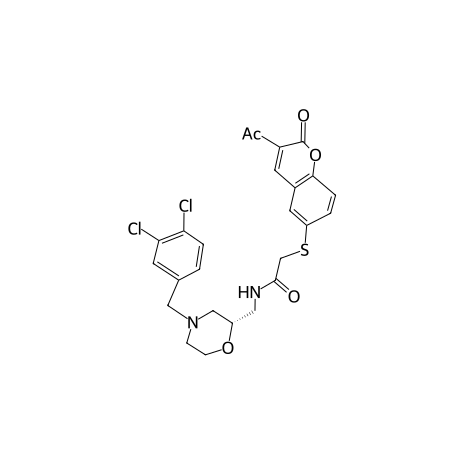 CC(=O)c1cc2cc(SCC(=O)NC[C@H]3CN(Cc4ccc(Cl)c(Cl)c4)CCO3)ccc2oc1=O